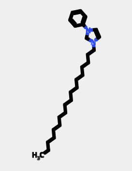 CCCCCCCCCCCCCCCCCCN1C=CN(c2ccccc2)C1